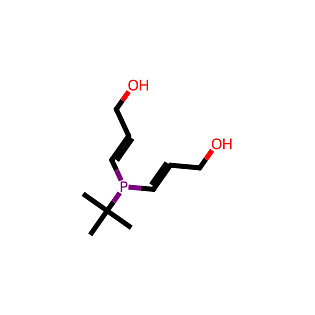 CC(C)(C)P(C=CCO)C=CCO